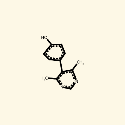 Cc1ncnc(C)c1-c1ccc(O)cc1